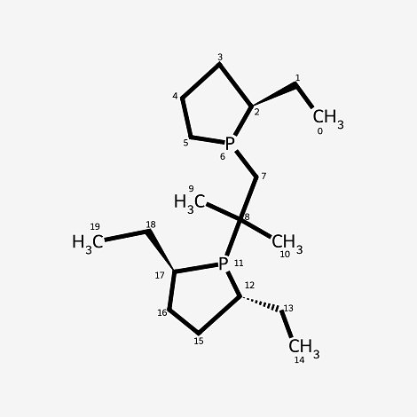 CC[C@@H]1CCCP1CC(C)(C)P1[C@H](CC)CC[C@H]1CC